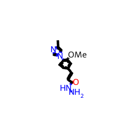 COc1cc(C=CC(=O)NN)ccc1-n1cnc(C)c1